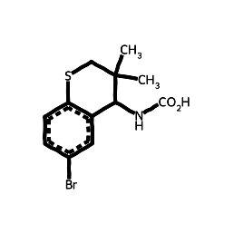 CC1(C)CSc2ccc(Br)cc2C1NC(=O)O